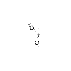 CC(C)(CCc1ccc(O)cc1)NCC(O)c1ccc2nnnn2c1